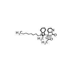 CCCCCCCCn1c(C)c(C2(OC(C)=O)OC(=O)c3ncccc32)c2ccccc21